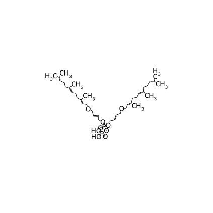 CC(C)=CCC/C(C)=C/CC/C(C)=C/COC/C=C/COP(=O)(OC/C=C/COC/C=C(\C)CC/C=C(\C)CCC=C(C)C)OP(=O)(O)O